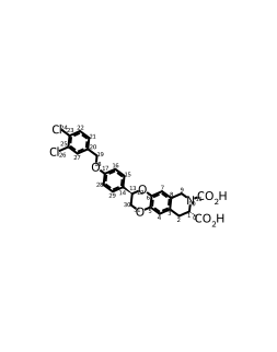 O=C(O)[C@@H]1Cc2cc3c(cc2CN1C(=O)O)O[C@H](c1ccc(OCc2ccc(Cl)c(Cl)c2)cc1)CO3